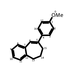 COc1ccc(C2=Cc3ccccc3CCC2)cc1